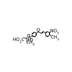 Cc1ccc(/C=C/C(=O)c2ccc(S(=O)(=O)N(C)CC(=O)O)cc2)cc1[N+](=O)[O-]